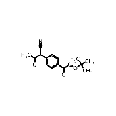 CC(=O)C(C#N)c1ccc(C(=O)OOC(C)(C)C)cc1